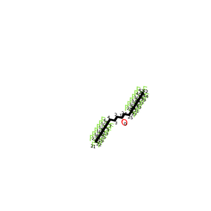 O=C(CCCC(F)(F)C(F)(F)C(F)(F)C(F)(F)C(F)(F)C(F)(F)F)CCC(F)(F)C(F)(F)C(F)(F)C(F)(F)C(F)(F)C(F)(F)F